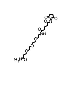 NC(=O)CCOCCOCCOCCNC(=O)CCCC(=O)ON1C(=O)CCC1=O